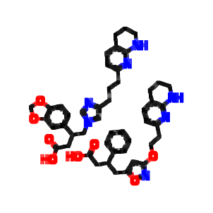 O=C(O)CC(Cc1cc(OCCc2ccc3c(n2)NCCC3)no1)c1ccccc1.O=C(O)CC(Cn1cnc(CCCc2ccc3c(n2)NCCC3)c1)c1ccc2c(c1)OCO2